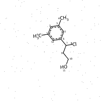 Cc1cc(C)cc(C(Cl)CCO)c1